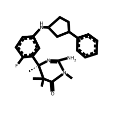 CN1C(=O)C(C)(C)[C@@](C)(c2cc(NC3CCC(c4ccccc4)C3)ccc2F)N=C1N